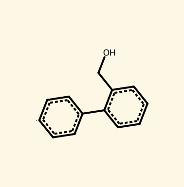 OCc1ccccc1-c1cc[c]cc1